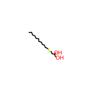 CCCCCCCCCCCCSCCC(O)CO